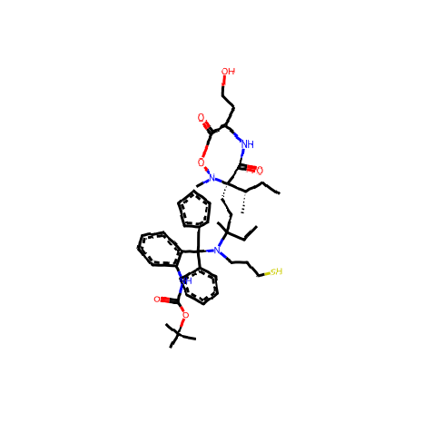 CC[C@H](C)[C@]1(CCC(C)(CC)N(CCCS)C(c2ccccc2)(c2ccccc2)c2ccccc2NC(=O)OC(C)(C)C)C(=O)NC(CCO)C(=O)ON1C